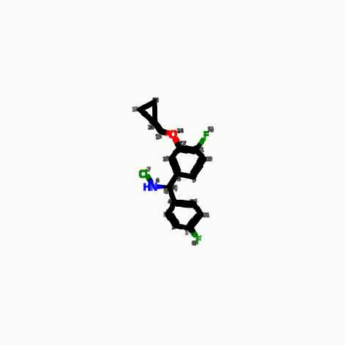 Fc1ccc([C@@H](NCl)c2ccc(F)c(OCC3CC3)c2)cc1